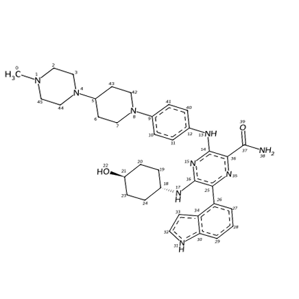 CN1CCN(C2CCN(c3ccc(Nc4nc(N[C@H]5CC[C@H](O)CC5)c(-c5cccc6[nH]ccc56)nc4C(N)=O)cc3)CC2)CC1